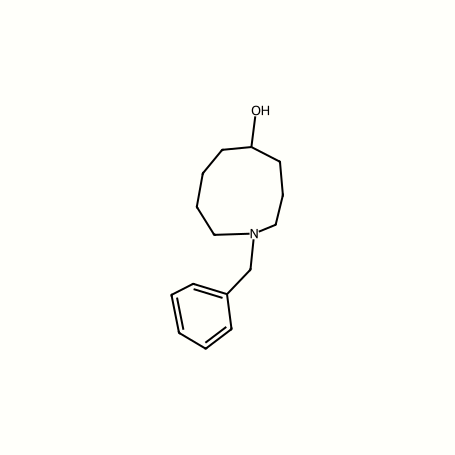 OC1CCCCN(Cc2ccccc2)CCC1